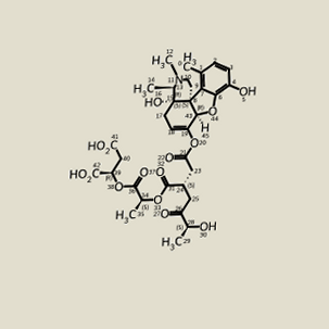 Cc1ccc(O)c2c1[C@]13CCN(C)[C@H](C)[C@]1(O)CC=C(OC(=O)C[C@H](CC(=O)[C@H](C)O)C(=O)O[C@@H](C)C(=O)O[C@H](CC(=O)O)C(=O)O)[C@@H]3O2